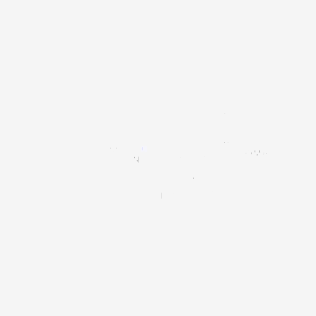 COC(=O)C1C(/C=N/Oc2ccccc2)C1(C)C